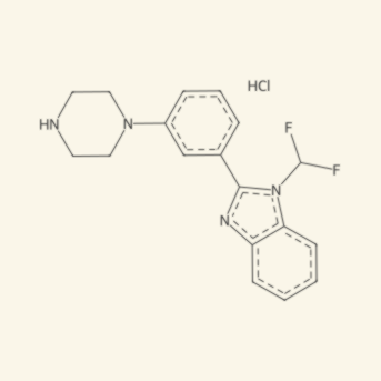 Cl.FC(F)n1c(-c2cccc(N3CCNCC3)c2)nc2ccccc21